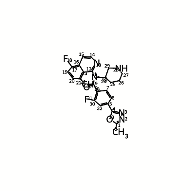 Cc1nnc(-c2ccc(C(=O)N(c3nccc4c(F)ccc(C)c34)[C@@H]3CCCNC3)c(F)c2)o1